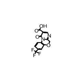 O=C(O)c1cnc2n(c1=O)-c1ccc(C(F)(F)F)cc1OC2